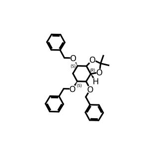 CC1(C)OC2[C@H](O1)C(OCc1ccccc1)[C@@H](OCc1ccccc1)C[C@@H]2OCc1ccccc1